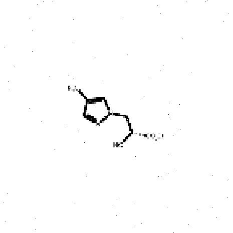 CCOC(=O)[C@H](O)Cn1cc(C(F)(F)F)cn1